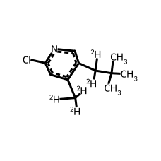 [2H]C([2H])([2H])c1cc(Cl)ncc1C([2H])([2H])C(C)(C)C